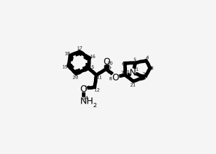 CN1C2CCC1CC(OC(=O)C(CON)c1ccccc1)C2